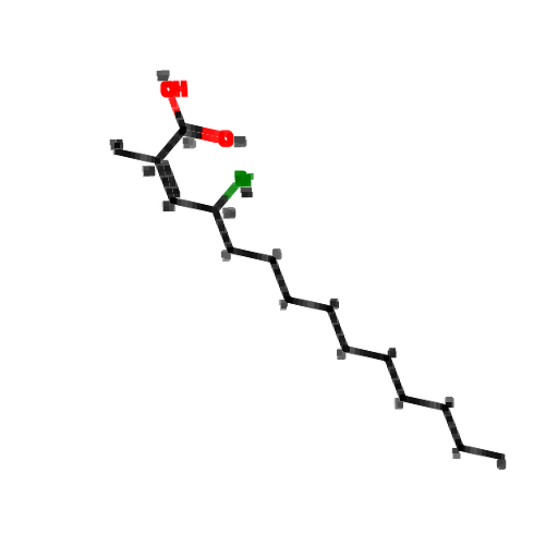 CCCCCCCCCCC(Br)C=C(C)C(=O)O